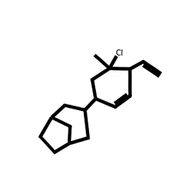 C=CC1C=CC(C2CC3CCC(C3)C2)CC1(C)Cl